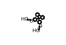 OCCOc1ccc(C2(c3ccc(OCCO)cc3)C3=C(C=CCC3)c3ccccc32)cc1